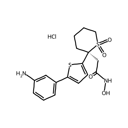 Cl.Nc1cccc(-c2ccc([C@@]3(CC(=O)NO)CCCCS3(=O)=O)s2)c1